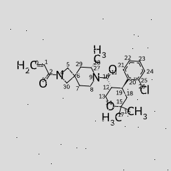 C=CC(=O)N1CC2(CCN(C(=O)[C@H]3COC(C)(C)C[C@@H]3c3ccccc3Cl)[C@@H](C)C2)C1